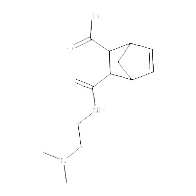 CC(C)C(=O)C1C2C=CC(C2)C1C(=O)NCCN(C)C